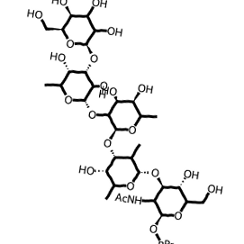 CCCO[C@@H]1OC(CO)[C@@H](O)[C@H](O[C@@H]2OC(C)[C@H](O)[C@H](O[C@@H]3OC(C)[C@H](O)[C@H](O)C3O[C@@H]3OC(C)[C@H](O)[C@H](O[C@H]4O[C@@H](CO)[C@@H](O)C(O)C4O)C3O)C2C)C1NC(C)=O